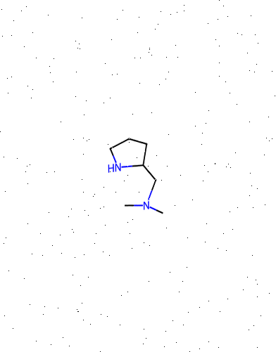 CN(C)CC1CCCN1